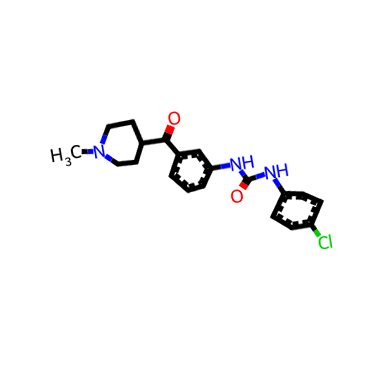 CN1CCC(C(=O)c2cccc(NC(=O)Nc3ccc(Cl)cc3)c2)CC1